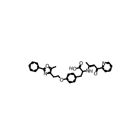 C/C(=C/C(=O)c1ccccn1)NC(Cc1ccc(OCCc2nc(-c3ccccc3)oc2C)cc1)C(=O)O